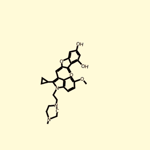 COc1ccc2c(c1)c(C=C1Oc3cc(O)cc(O)c3C1=O)c(C1CC1)n2CCN1CCN(C)CC1